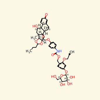 C#CCOc1cc(O[C@@H]2O[C@H](CO)[C@@H](O)[C@H](O)[C@H]2O)ccc1COC(=O)Nc1ccc(OCC(=O)[C@@]23OC(CCC)O[C@@H]2C[C@H]2[C@@H]4CCC5=CC(=O)C=C[C@]5(C)[C@H]4[C@@H](O)C[C@@]23C)cc1